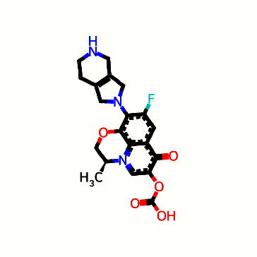 C[C@H]1COc2c(N3CC4=C(CNCC4)C3)c(F)cc3c(=O)c(OC(=O)O)cn1c23